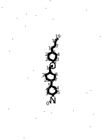 C=NC1CCC(C2CCC(COC3CCC(CCCC)CC3)CC2)CC1